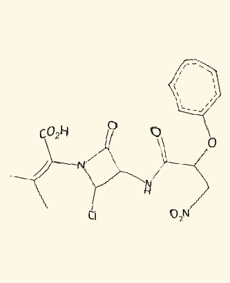 CC(C)=C(C(=O)O)N1C(=O)C(NC(=O)C(C[N+](=O)[O-])Oc2ccccc2)C1Cl